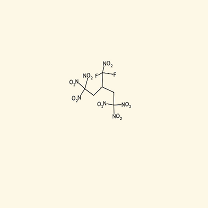 O=[N+]([O-])C(F)(F)[C](CC([N+](=O)[O-])([N+](=O)[O-])[N+](=O)[O-])CC([N+](=O)[O-])([N+](=O)[O-])[N+](=O)[O-]